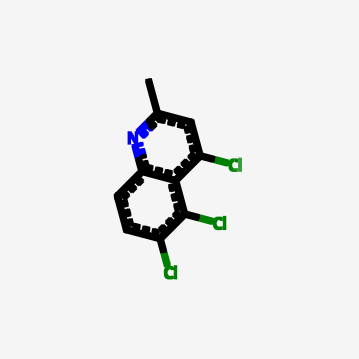 Cc1cc(Cl)c2c(Cl)c(Cl)ccc2n1